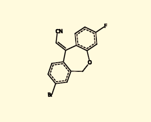 N#C/C=C1/c2ccc(Br)cc2COc2cc(F)ccc21